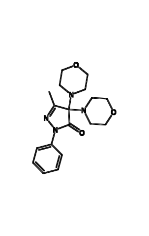 CC1=NN(c2ccccc2)C(=O)C1(N1CCOCC1)N1CCOCC1